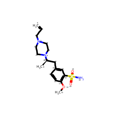 C=CCN1CCN([C@H](C)Cc2ccc(OC)c(S(N)(=O)=O)c2)CC1